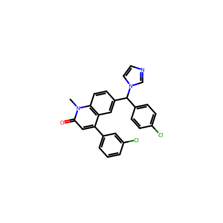 Cn1c(=O)cc(-c2cccc(Cl)c2)c2cc(C(c3ccc(Cl)cc3)n3ccnc3)ccc21